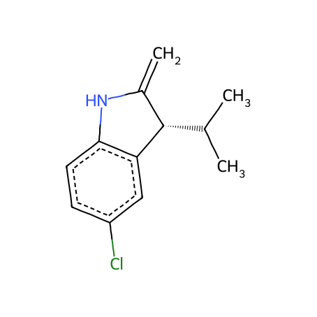 C=C1Nc2ccc(Cl)cc2[C@H]1C(C)C